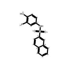 O=S(=O)(Nc1ccc(O)c(F)c1)c1ccc2ccccc2c1